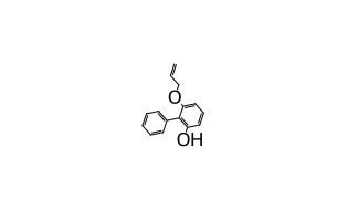 C=CCOc1cccc(O)c1-c1ccccc1